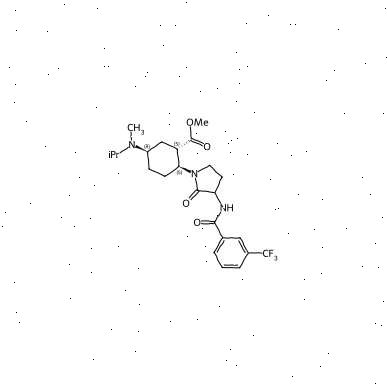 COC(=O)[C@H]1C[C@H](N(C)C(C)C)CC[C@@H]1N1CCC(NC(=O)c2cccc(C(F)(F)F)c2)C1=O